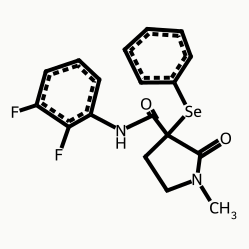 CN1CCC([Se]c2ccccc2)(C(=O)Nc2cccc(F)c2F)C1=O